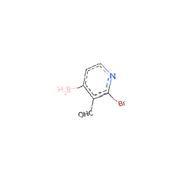 Bc1ccnc(Br)c1C=O